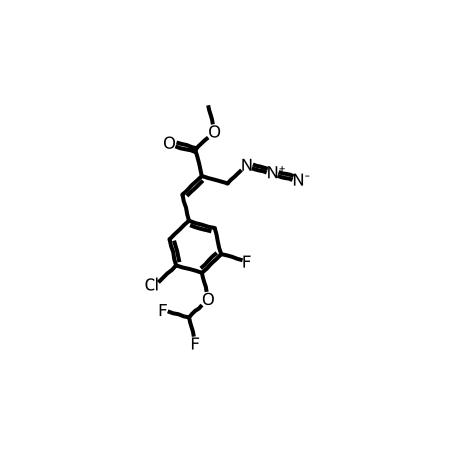 COC(=O)/C(=C/c1cc(F)c(OC(F)F)c(Cl)c1)CN=[N+]=[N-]